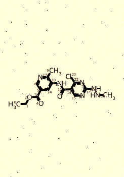 CCOC(=O)c1cnc(C)c(NC(=O)c2cnc(NNC)nc2Cl)c1